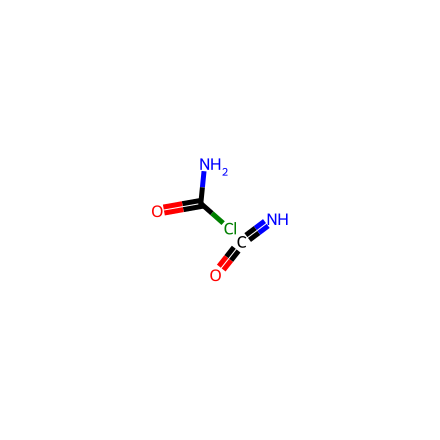 N=C=O.NC(=O)Cl